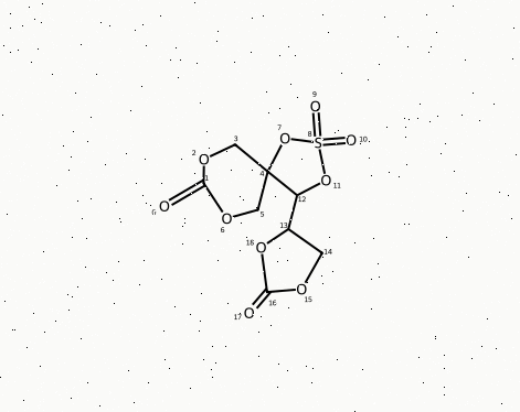 O=C1OCC2(CO1)OS(=O)(=O)OC2C1COC(=O)O1